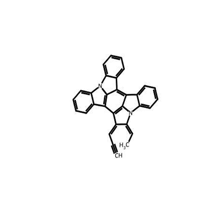 C#C/C=c1\c(=C/C)n2c3ccccc3c3c4c5ccccc5n5c6ccccc6c(c1c32)c45